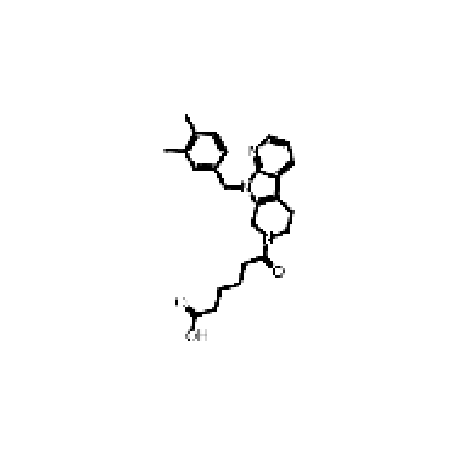 Cc1ccc(Cn2c3c(c4cccnc42)CCN(C(=O)CCCCC(=O)O)C3)cc1C